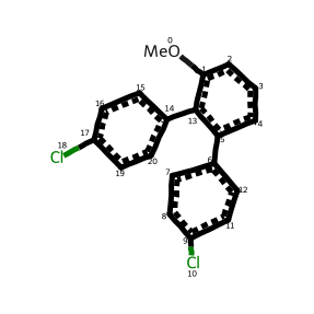 COc1cc[c]c(-c2ccc(Cl)cc2)c1-c1ccc(Cl)cc1